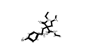 CCOC(=O)C(CCOC)(CC(=O)c1ccc(Br)cc1)C(=O)OCC